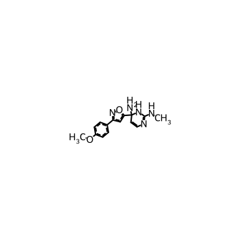 CNC1=NC=CC(N)(c2cc(-c3ccc(OC)cc3)no2)N1